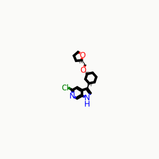 Clc1cc2c([C@@H]3CCC[C@H](OC[C@@H]4CCCO4)C3)c[nH]c2cn1